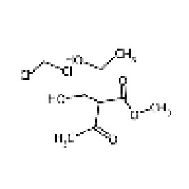 CCO.COC(=O)C(CO)C(C)=O.ClCCl